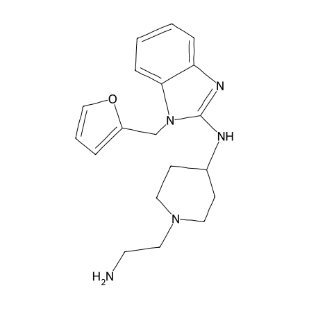 NCCN1CCC(Nc2nc3ccccc3n2Cc2ccco2)CC1